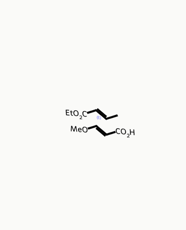 C/C=C/C(=O)OCC.COC=CC(=O)O